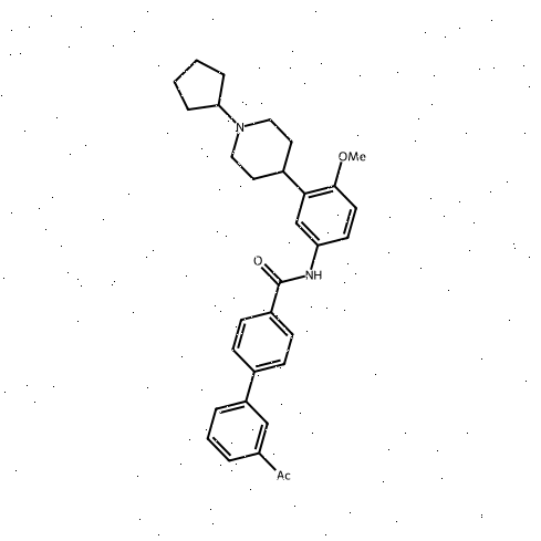 COc1ccc(NC(=O)c2ccc(-c3cccc(C(C)=O)c3)cc2)cc1C1CCN(C2CCCC2)CC1